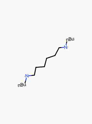 CCCC[N]CCCCCC[N]CCCC